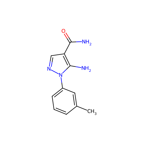 Cc1cccc(-n2ncc(C(N)=O)c2N)c1